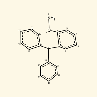 [SiH3]Oc1ccccc1C(c1ccccc1)c1ccccc1